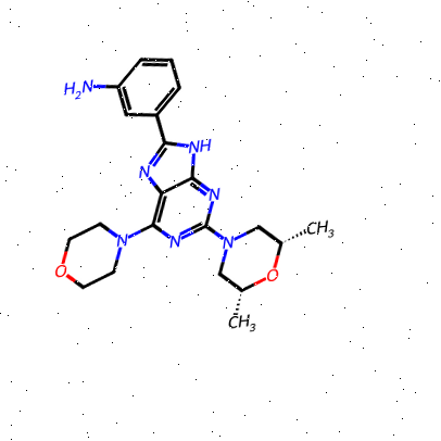 C[C@@H]1CN(c2nc(N3CCOCC3)c3nc(-c4cccc(N)c4)[nH]c3n2)C[C@H](C)O1